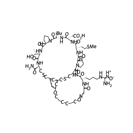 CC[C@H](C)[C@@H]1NC(=O)[C@H](CC(=O)O)NC(=O)[C@H](CCSC)NC(=O)[C@@H]2CCCN2C(=O)[C@@H]2CSCc3cc(cc(c3)OCCCCCCO/N=C/C(=O)N[C@@H](CCCCN/C(N)=[NH+]/[O-])C(=O)N2)CSC[C@@H](C(N)=O)NC(=O)[C@H]([C@@H](C)O)NC(=O)[C@@H]2CCCN2C1=O